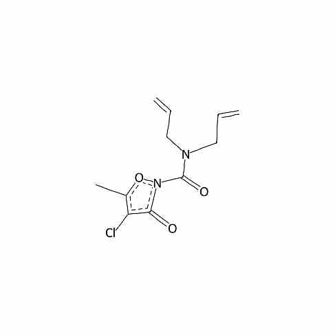 C=CCN(CC=C)C(=O)n1oc(C)c(Cl)c1=O